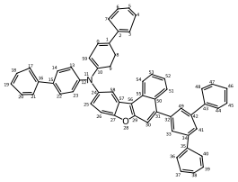 C1=C(c2ccccc2)CCC(N(c2ccc(-c3ccccc3)cc2)c2ccc3oc4cc(-c5cc(-c6ccccc6)cc(-c6ccccc6)c5)c5ccccc5c4c3c2)=C1